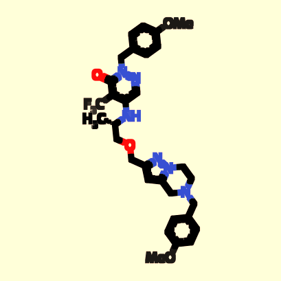 COc1ccc(CN2CCn3nc(COC[C@H](C)Nc4cnn(Cc5ccc(OC)cc5)c(=O)c4C(F)(F)F)cc3C2)cc1